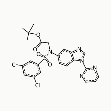 CC(C)(C)OC(=O)CN(c1ccc2c(c1)ncn2-c1ncccn1)S(=O)(=O)c1cc(Cl)cc(Cl)c1